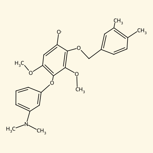 COc1cc([O])c(OCc2ccc(C)c(C)c2)c(OC)c1Oc1cccc(N(C)C)c1